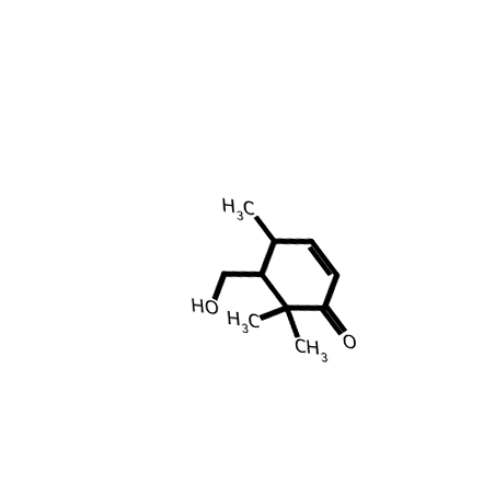 CC1C=CC(=O)C(C)(C)C1CO